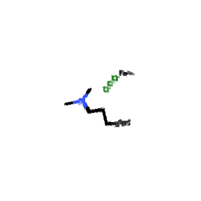 CCCCCCCCN(C)C.[Cl-].[Cl-].[Cl-].[Fe+3]